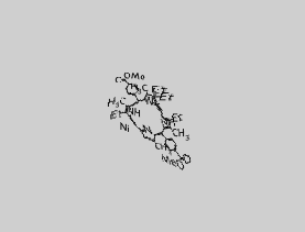 CCc1c(C)c2[nH]c1cc1nc(c(-c3ccc(C(=O)OC)cc3)c3[nH]c(cc4nc(c2-c2ccc(C(=O)OC)cc2)C(C)=C4)c(CC)c3C)C(C)C1(CC)CC.[Ni]